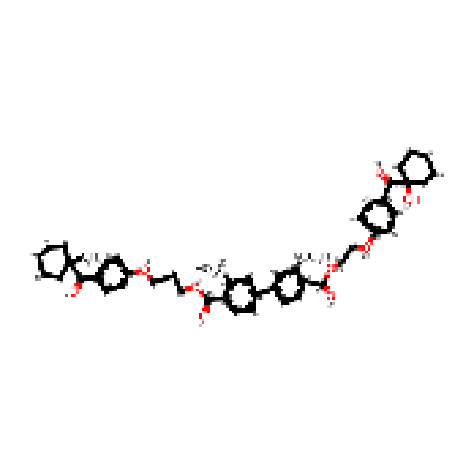 CC1(C(=O)c2ccc(OCCCOC(=O)c3ccc(-c4ccc(C(=O)OCCOc5ccc(C(=O)C6(O)CCCCC6)cc5)c(C(=O)O)c4)cc3C(=O)O)cc2)CCCCC1